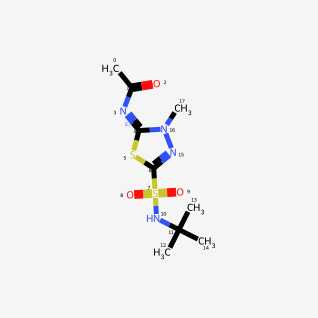 CC(=O)/N=c1/sc(S(=O)(=O)NC(C)(C)C)nn1C